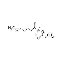 C=CC(=O)OC(F)(F)C(F)CCCCCC